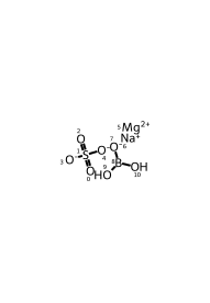 O=S(=O)([O-])[O-].[Mg+2].[Na+].[O-]B(O)O